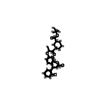 CC(Oc1ccc2c(-c3ccccc3Cl)cc(=O)oc2n1)C(=O)N1CCCC(C(=O)OC(C)(C)C)C1